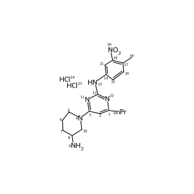 CCCc1cc(N2CCCC(N)C2)nc(Nc2ccc(C)c([N+](=O)[O-])c2)n1.Cl.Cl